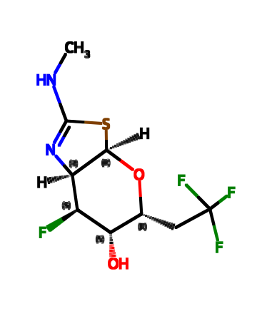 CNC1=N[C@@H]2[C@H](F)[C@@H](O)[C@@H](CC(F)(F)F)O[C@@H]2S1